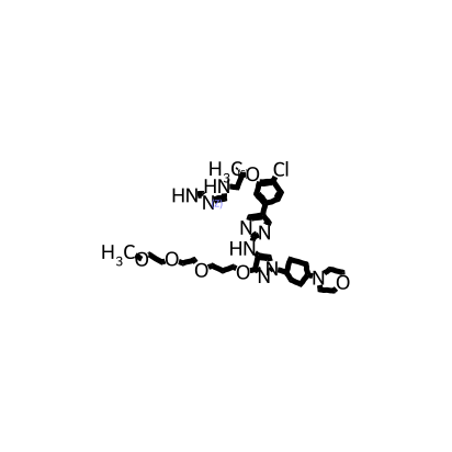 COCCOCCOCCCOc1nn(C2CCC(N3CCOCC3)CC2)cc1Nc1ncc(-c2ccc(Cl)c(O[C@@H](C)CN/C=N\C=N)c2)cn1